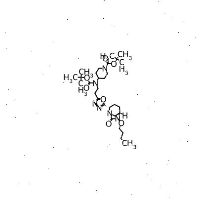 CCCCON1C(=O)N2C[C@@H]1CC[C@H]2c1nnc(CCN(C(=O)OC(C)(C)C)C2CCN(C(=O)OC(C)(C)C)CC2)o1